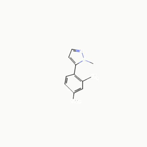 COc1ccc(-c2ccnn2C)c(C(F)(F)F)c1